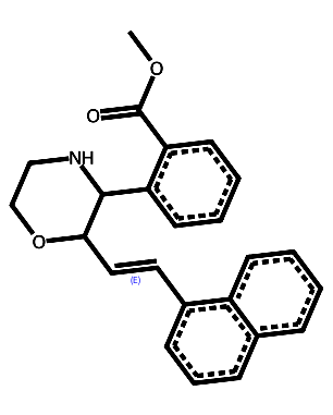 COC(=O)c1ccccc1C1NCCOC1/C=C/c1cccc2ccccc12